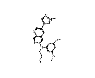 CCCCN(c1cc(OC)cc(OC)c1)c1cc2cc(-c3cnn(C)c3)cnc2cn1